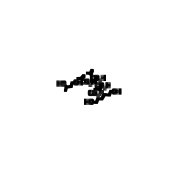 C=C(C)C(=O)O.C=C(C)C(=O)O.C=C(C)C(=O)O.C=C(C)C(=O)O.CC(O)CCO.OCCCCCCO